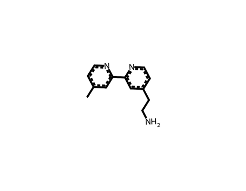 Cc1ccnc(-c2cc(CCN)ccn2)c1